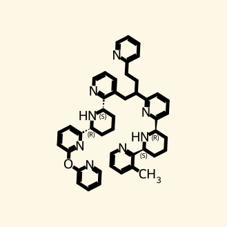 Cc1cccnc1[C@@H]1CCC[C@H](c2cccc(C(CCc3ccccn3)Cc3cccnc3[C@@H]3CCC[C@H](c4cccc(Oc5ccccn5)n4)N3)n2)N1